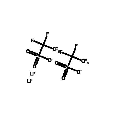 O=S(=O)([O-])C(F)(F)C(F)(F)F.O=S(=O)([O-])C(F)(F)C(F)(F)F.[Li+].[Li+]